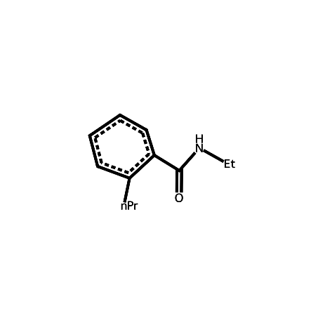 CCCc1ccccc1C(=O)NCC